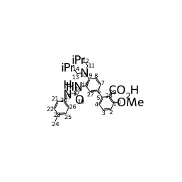 COc1cccc(-c2ccc(N(CC(C)C)CC(C)C)c(NC(=O)Nc3ccc(C)cc3)c2)c1C(=O)O